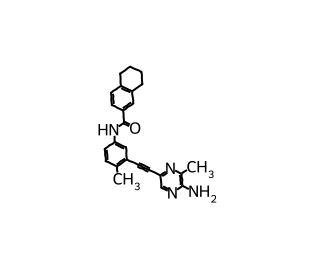 Cc1ccc(NC(=O)c2ccc3c(c2)CCCC3)cc1C#Cc1cnc(N)c(C)n1